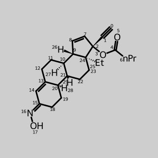 C#C[C@]1(OC(=O)CCC)C=C[C@H]2[C@@H]3CCC4=C/C(=N/O)CC[C@@H]4[C@H]3CC[C@@]21CC